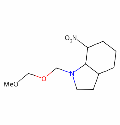 COCOCN1CCC2CCCC([N+](=O)[O-])C21